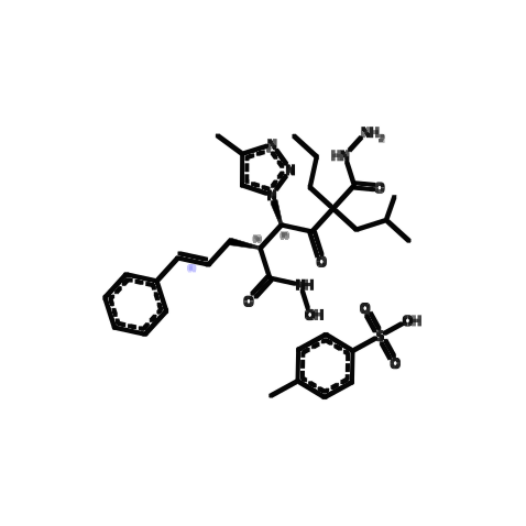 CCCC(CC(C)C)(C(=O)NN)C(=O)[C@@H]([C@H](C/C=C/c1ccccc1)C(=O)NO)n1cc(C)nn1.Cc1ccc(S(=O)(=O)O)cc1